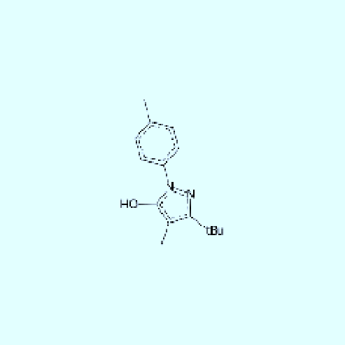 Cc1ccc(-n2nc(C(C)(C)C)c(C)c2O)cc1